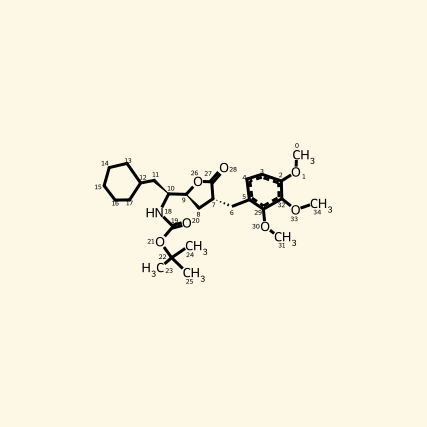 COc1ccc(C[C@@H]2C[C@@H]([C@H](CC3CCCCC3)NC(=O)OC(C)(C)C)OC2=O)c(OC)c1OC